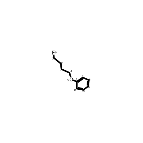 FCCCCOc1cc[c]cc1